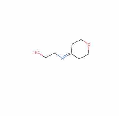 OCCN=C1CCOCC1